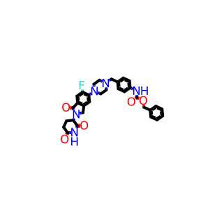 O=C1CCC(N2Cc3cc(N4CCN(Cc5ccc(NC(=O)OCc6ccccc6)cc5)CC4)c(F)cc3C2=O)C(=O)N1